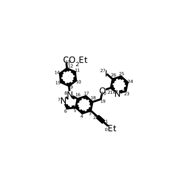 CCC#Cc1cc2cnn(-c3ccc(C(=O)OCC)cc3)c2cc1COc1ncccc1I